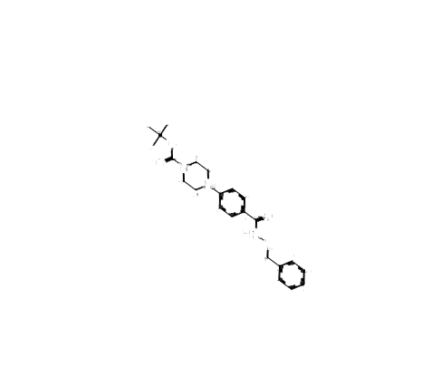 CC(C)(C)OC(=O)N1CCN(c2ccc(C(=O)NSCc3ccccc3)cc2)CC1